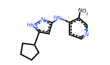 O=[N+]([O-])c1cnccc1Nc1cc(C2CCCC2)[nH]n1